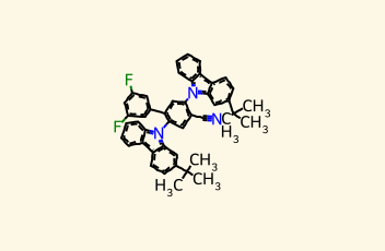 CC(C)(C)c1ccc2c3ccccc3n(-c3cc(-c4cc(F)cc(F)c4)c(-n4c5ccccc5c5ccc(C(C)(C)C)cc54)cc3C#N)c2c1